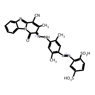 CC1=C(C#N)c2nc3ccccc3n2C(=O)/C1=N/Nc1cc(C)c(/N=N/c2cc(S(=O)(=O)O)ccc2S(=O)(=O)O)cc1C